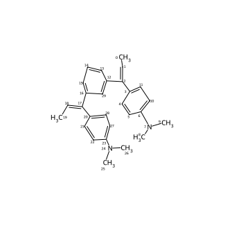 C/C=C(/c1ccc(N(C)C)cc1)c1cccc(/C(=C/C)c2ccc(N(C)C)cc2)c1